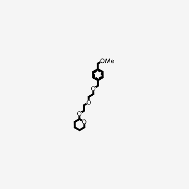 COCc1ccc(COCCOCCOC2CCCCO2)cc1